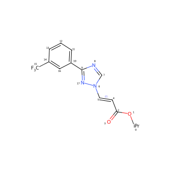 CC(C)OC(=O)/C=C/n1cnc(-c2cccc(C(F)(F)F)c2)n1